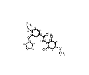 COc1cc(Cl)c(NC(=O)c2ccc(OC)c(OC3CCOC3)c2)c(Cl)c1